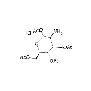 CC(=O)OC[C@H]1O[C@H](OC(C)=O)[C@@H](N)[C@@H](OC(C)=O)[C@@H]1OC(C)=O.Cl